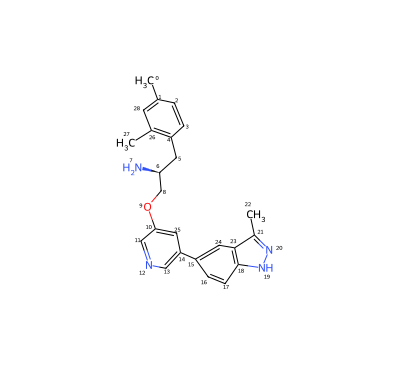 Cc1ccc(C[C@H](N)COc2cncc(-c3ccc4[nH]nc(C)c4c3)c2)c(C)c1